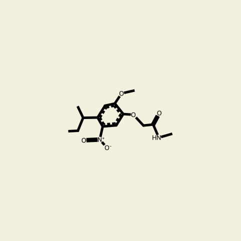 CCC(C)c1cc(OC)c(OCC(=O)NC)cc1[N+](=O)[O-]